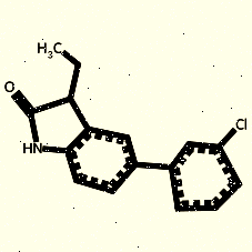 CCC1C(=O)Nc2ccc(-c3cccc(Cl)c3)cc21